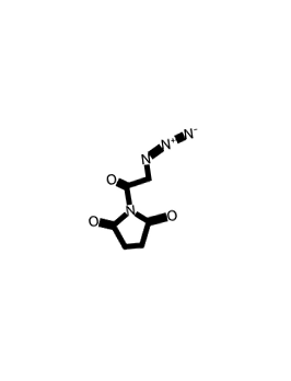 [N-]=[N+]=NCC(=O)N1C(=O)CCC1=O